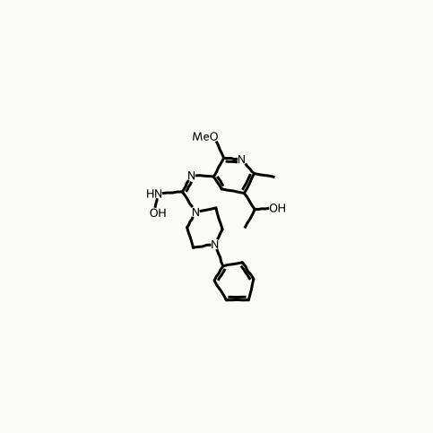 COc1nc(C)c(C(C)O)cc1N=C(NO)N1CCN(c2ccccc2)CC1